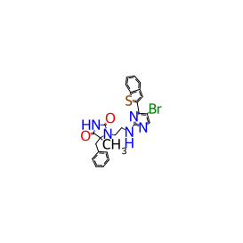 CC1(Cc2ccccc2)C(=O)NC(=O)N1CCNc1ncc(Br)c(-c2cc3ccccc3s2)n1